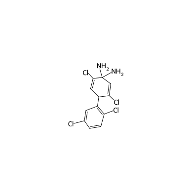 NC1(N)C=C(Cl)C(c2cc(Cl)ccc2Cl)C=C1Cl